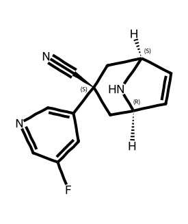 N#C[C@@]1(c2cncc(F)c2)C[C@H]2C=C[C@@H](C1)N2